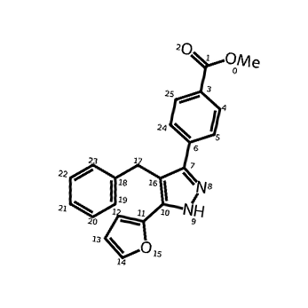 COC(=O)c1ccc(-c2n[nH]c(-c3ccco3)c2Cc2ccccc2)cc1